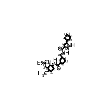 CCN(C)Cc1cc(NC(=O)c2cccc(CNC(=O)c3cc(-c4cccnc4)[nH]n3)c2)ccc1C